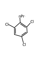 CC[CH]c1c(Cl)cc(Cl)cc1Cl